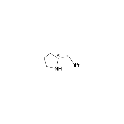 CC(C)C[C@H]1CCCN1